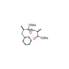 C=C(C(=O)OC)C(C)(C)C.C=C(Cc1ccccc1)C(=O)OC